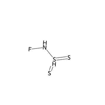 FN[SH](=S)=S